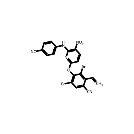 C=Cc1c(C#N)cc(Br)c(Oc2ccc([N+](=O)[O-])c(Nc3ccc(C#N)cc3)n2)c1Br